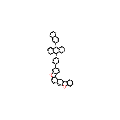 c1ccc2cc(-c3c4ccccc4c(-c4ccc(-c5ccc6c(c5)oc5ccc7cc8oc9ccccc9c8cc7c56)cc4)c4ccccc34)ccc2c1